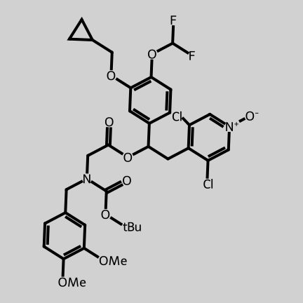 COc1ccc(CN(CC(=O)OC(Cc2c(Cl)c[n+]([O-])cc2Cl)c2ccc(OC(F)F)c(OCC3CC3)c2)C(=O)OC(C)(C)C)cc1OC